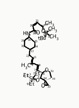 CC[Si](CC)(CC)O[C@@H]1[C@@H](/C=C/C(C)=C/CC2CCC(NC(=O)/C=C\[C@H](C)O[Si](C)(C)C(C)(C)C)CC2)OCC[C@@]12CO2